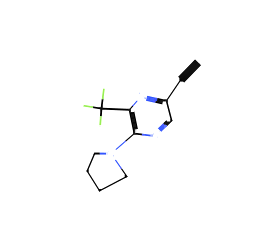 C#Cc1cnc(N2CCCC2)c(C(F)(F)F)n1